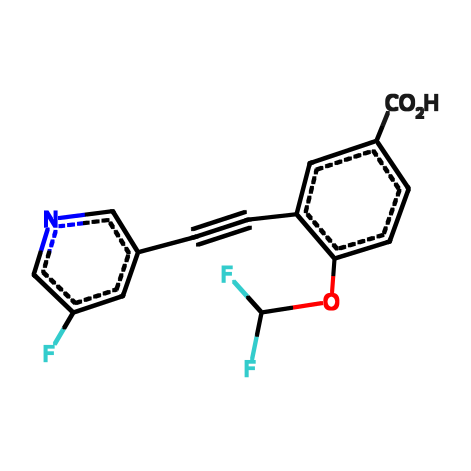 O=C(O)c1ccc(OC(F)F)c(C#Cc2cncc(F)c2)c1